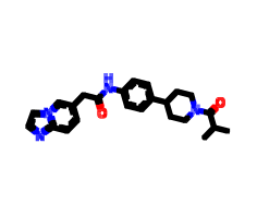 CC(C)C(=O)N1CCC(c2ccc(NC(=O)Cc3ccc4nccn4c3)cc2)CC1